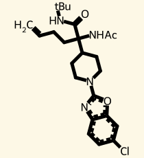 C=CCCC(NC(C)=O)(C(=O)NC(C)(C)C)C1CCN(c2nc3ccc(Cl)cc3o2)CC1